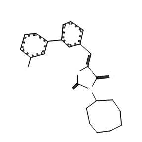 O=C1/C(=C/c2cccc(-c3cccc(F)c3)c2)SC(=S)N1C1CCCCCCC1